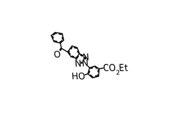 CCOC(=O)c1ccc(O)c(-n2nc3ccc(C(=O)c4ccccc4)cc3n2)c1